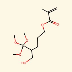 C=C(C)C(=O)OCCCC(CO)[Si](OC)(OC)OC